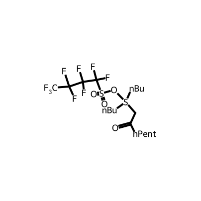 CCCCCC(=O)CS(CCCC)(CCCC)OS(=O)(=O)C(F)(F)C(F)(F)C(F)(F)C(F)(F)F